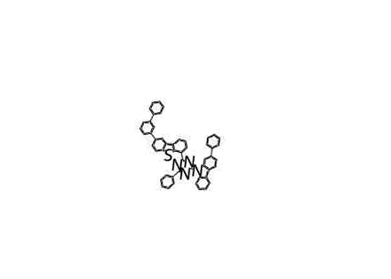 c1ccc(-c2cccc(-c3ccc4sc5c(-c6nc(-c7ccccc7)nc(-n7c8ccccc8c8ccc(-c9ccccc9)cc87)n6)cccc5c4c3)c2)cc1